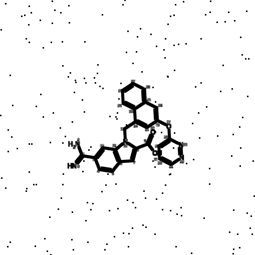 N=C(N)c1ccc2cc(C(=O)O)n(Cc3cc(Oc4cccnn4)cc4ccccc34)c2c1